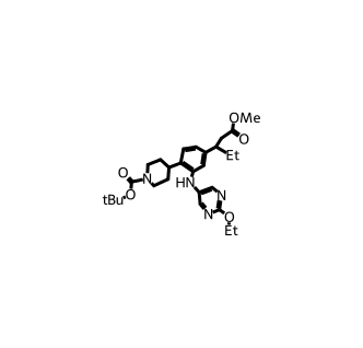 CCOc1ncc(Nc2cc(C(CC)CC(=O)OC)ccc2C2CCN(C(=O)OC(C)(C)C)CC2)cn1